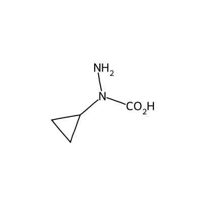 NN(C(=O)O)C1CC1